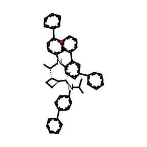 CC([C@H]1CC[C@@H]1[C@H](C)N(c1ccc(-c2ccccc2)cc1)C(C)C)N(c1ccc(-c2ccccc2)cc1)c1ccc(-c2ccccc2)cc1-c1ccccc1